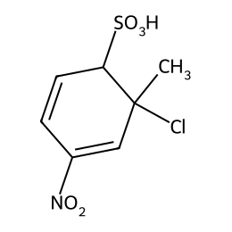 CC1(Cl)C=C([N+](=O)[O-])C=CC1S(=O)(=O)O